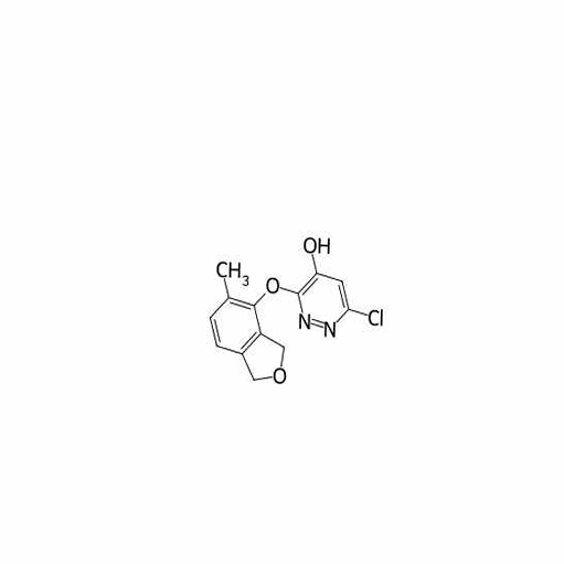 Cc1ccc2c(c1Oc1nnc(Cl)cc1O)COC2